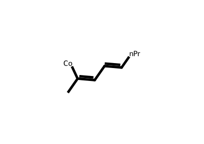 CCCC=CC=[C](C)[Co]